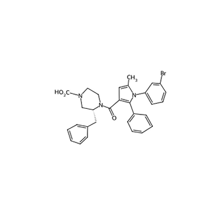 Cc1cc(C(=O)N2CCN(C(=O)O)C[C@H]2Cc2ccccc2)c(-c2ccccc2)n1-c1cccc(Br)c1